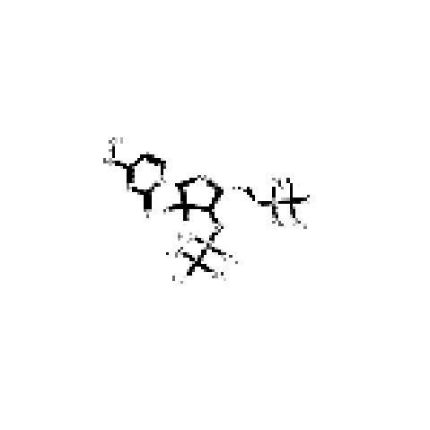 CC(C)(C)[Si](C)(C)OC[C@H]1O[C@@H](n2ccc(NO)nc2=O)C(F)(F)C1O[Si](C)(C)C(C)(C)C